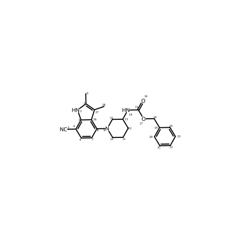 Cc1[nH]c2c(C#N)ccc(N3CCCC(NC(=O)OCc4ccccc4)C3)c2c1C